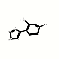 Cc1cc(Cl)ccc1-c1csnn1